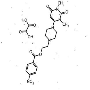 Cn1c(N2CCN(CCOC(=O)c3ccc([N+](=O)[O-])cc3)CC2)cc(=O)n(C)c1=O.O=C(O)C(=O)O